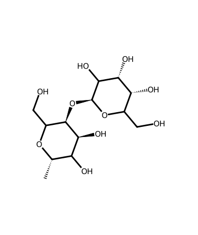 C[C@@H]1OC(CO)[C@@H](O[C@@H]2OC(CO)[C@@H](O)[C@@H](O)C2O)[C@@H](O)C1O